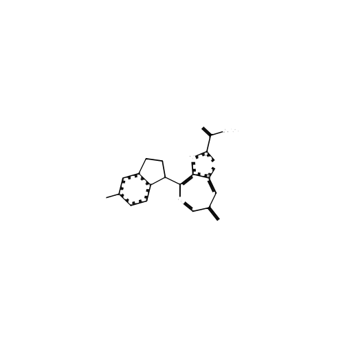 C=C1C=NC(C2CCc3cc(F)ccc32)=c2nc(C(=O)NC)sc2=C1